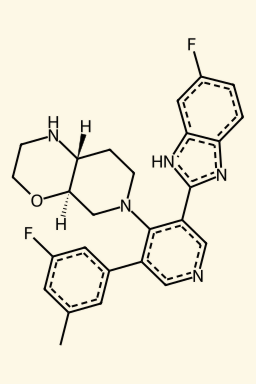 Cc1cc(F)cc(-c2cncc(-c3nc4ccc(F)cc4[nH]3)c2N2CC[C@H]3NCCO[C@@H]3C2)c1